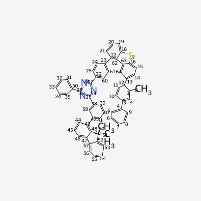 CC1C=C(c2ccccc2)C=CC1c1ccc2sc3cccc(-c4ccc(-c5nc(-c6ccccc6)nc(-c6cccc(-c7cccc8c7C(C)(C)c7ccccc7-8)c6)n5)cc4)c3c2c1